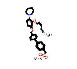 CNS(=O)(=O)Cc1ccc(-c2ccc(CO[C@@H]3CC[C@H](N4CCCCCC4)[C@H]3OC/C=C\CCC(=O)O)cc2)cc1